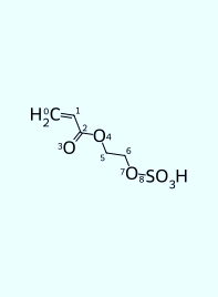 C=CC(=O)OCCOS(=O)(=O)O